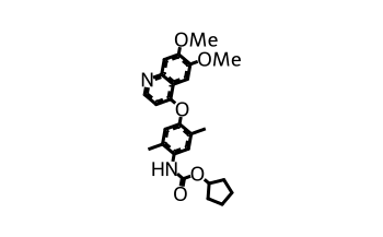 COc1cc2nccc(Oc3cc(C)c(NC(=O)OC4CCCC4)cc3C)c2cc1OC